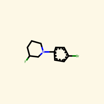 FC1CCCN(c2ccc(Br)cc2)C1